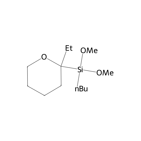 CCCC[Si](OC)(OC)C1(CC)CCCCO1